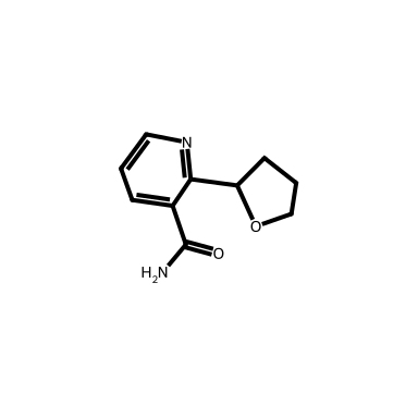 NC(=O)c1cccnc1C1CCCO1